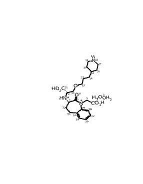 O.O.O=C(O)CN1C(=O)[C@@H](N[C@@H](COCCCC2CCNCC2)C(=O)O)CCc2ccccc21